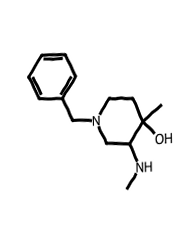 CNC1CN(Cc2ccccc2)CCC1(C)O